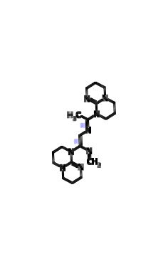 C=N/C(=C\N=C(/C)N1CCCN2CCCN=C21)N1CCCN2CCCN=C21